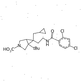 CC(C)(C)C12CN(C(=O)O)CC1C2(CCNC(=O)c1ccc(Cl)cc1Cl)CC1CC1